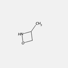 CC1CON1